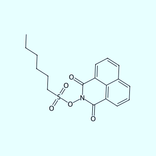 CCCCCCS(=O)(=O)ON1C(=O)c2cccc3cccc(c23)C1=O